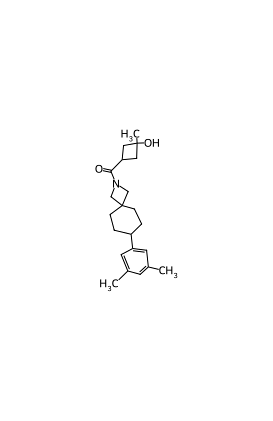 Cc1cc(C)cc(C2CCC3(CC2)CN(C(=O)C2CC(C)(O)C2)C3)c1